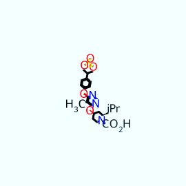 Cc1c(Oc2ccc(C3COS(=O)OC3)cc2)ncnc1O[C@@H]1CCN(C(=O)O)[C@H](CC(C)C)C1